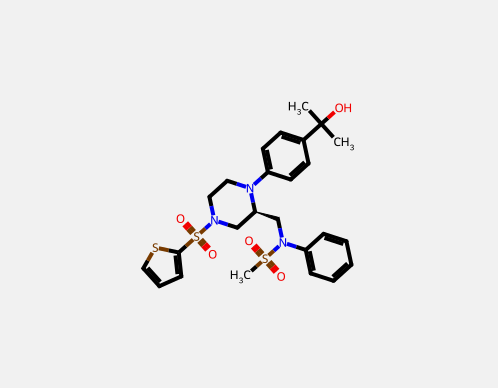 CC(C)(O)c1ccc(N2CCN(S(=O)(=O)c3cccs3)C[C@@H]2CN(c2ccccc2)S(C)(=O)=O)cc1